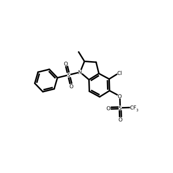 CC1Cc2c(ccc(OS(=O)(=O)C(F)(F)F)c2Cl)N1S(=O)(=O)c1ccccc1